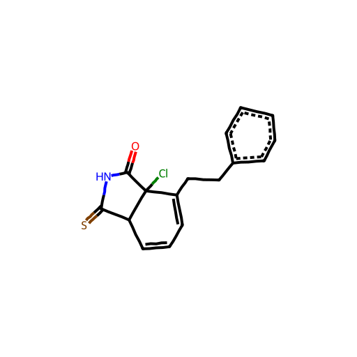 O=C1NC(=S)C2C=CC=C(CCc3ccccc3)C12Cl